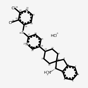 Cl.N[C@H]1c2ccccc2CC12CCC(c1ccc(Sc3ccnc(Cl)c3Cl)nc1)CC2